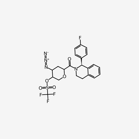 [N-]=[N+]=NC1CC(C(=O)N2CCc3ccccc3[C@@H]2c2ccc(F)cc2)OCC1OS(=O)(=O)C(F)(F)F